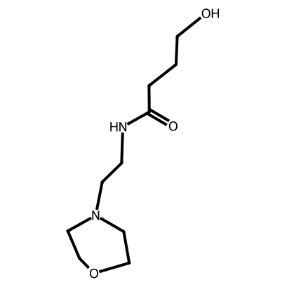 O=C(CCCO)NCCN1CCOCC1